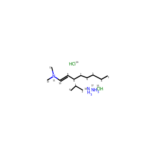 CCC.CCCCCCC=CN(C)C.Cl.Cl.N.N